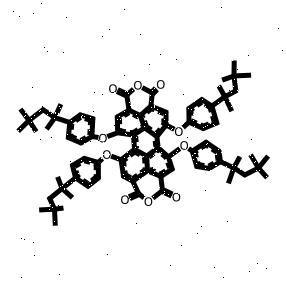 CC(C)(C)CC(C)(C)c1ccc(Oc2cc3c4c(cc(Oc5ccc(C(C)(C)CC(C)(C)C)cc5)c5c6c(Oc7ccc(C(C)(C)CC(C)(C)C)cc7)cc7c8c(cc(Oc9ccc(C(C)(C)CC(C)(C)C)cc9)c(c2c45)c86)C(=O)OC7=O)C(=O)OC3=O)cc1